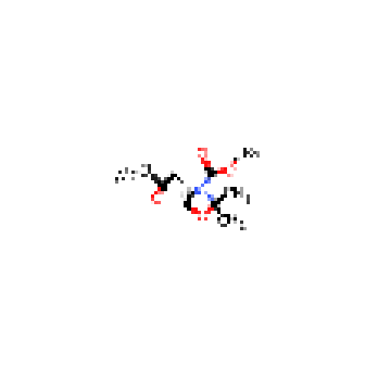 COC(=O)C[C@H]1COC(C)(C)N1C(=O)OC(C)(C)C